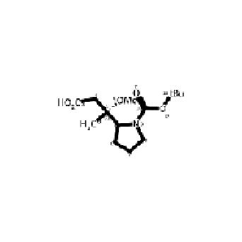 CO[C@](C)(CC(=O)O)C1CCCN1C(=O)OC(C)(C)C